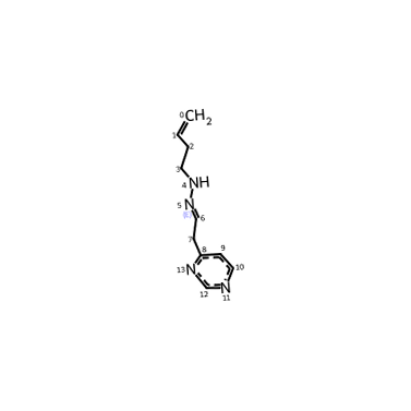 C=CCCN/N=C/Cc1ccncn1